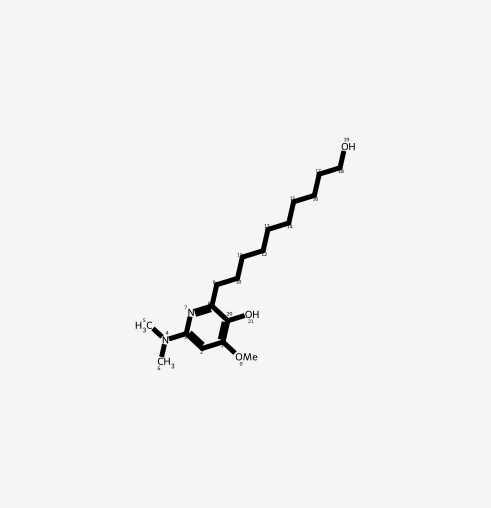 COc1cc(N(C)C)nc(CCCCCCCCCCO)c1O